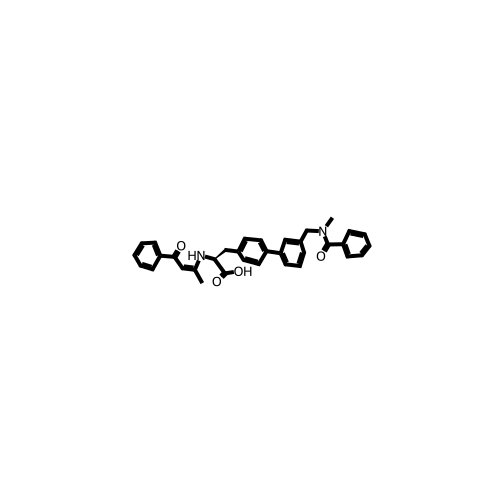 CC(=CC(=O)c1ccccc1)N[C@@H](Cc1ccc(-c2cccc(CN(C)C(=O)c3ccccc3)c2)cc1)C(=O)O